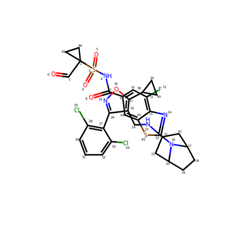 O=CC1(S(=O)(=O)NC(=O)c2cc(F)c3nc(N4C5CCC4CC(NCc4c(-c6c(Cl)cccc6Cl)noc4C4CC4)C5)sc3c2)CC1